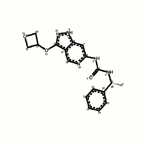 C[C@@H](NC(=O)Nc1cc2[nH]nc(OC3COC3)c2cn1)c1ccccc1